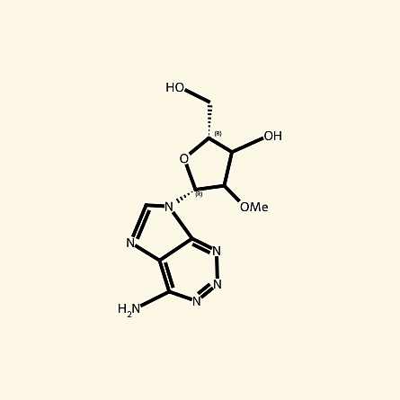 COC1C(O)[C@@H](CO)O[C@H]1n1cnc2c(N)nnnc21